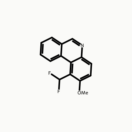 COc1ccc2ncc3ccccc3c2c1C(F)F